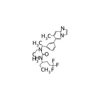 CCC(CCC(F)(F)F)NC(=O)N(CC)C(C)c1cccc(-c2cn3ccnc3cc2C)c1